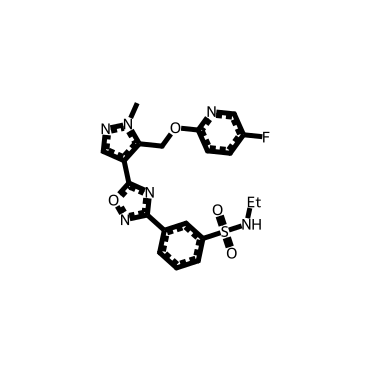 CCNS(=O)(=O)c1cccc(-c2noc(-c3cnn(C)c3COc3ccc(F)cn3)n2)c1